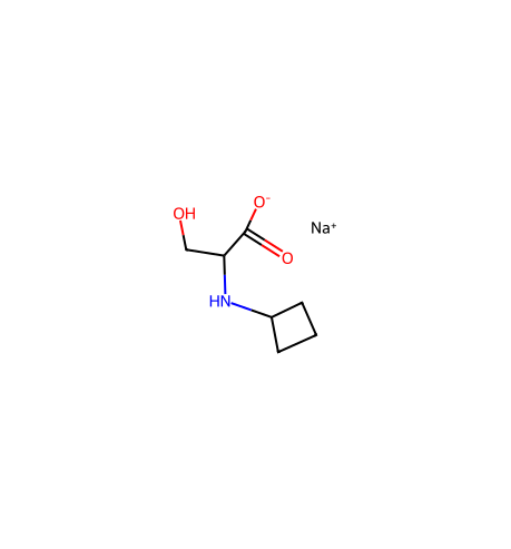 O=C([O-])C(CO)NC1CCC1.[Na+]